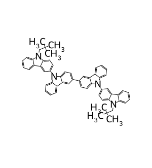 CC(C)(C)Cn1c2ccccc2c2cc(-n3c4ccccc4c4cc(-c5ccc6c(c5)c5ccccc5n6-c5ccc6c(c5)c5ccccc5n6CC(C)(C)C)ccc43)ccc21